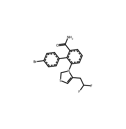 NC(=O)c1cccc(N2CSC=C2CC(F)F)c1-c1ccc(Br)cc1